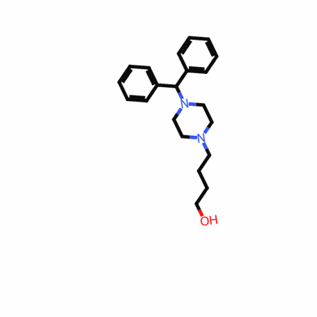 OCCCCN1CCN(C(c2ccccc2)c2ccccc2)CC1